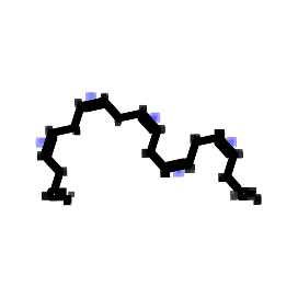 [CH2]C/C=C\C/C=C\C/C=C\C/C=C\C/C=C\CC